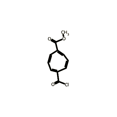 COC(=O)C1=C/C=C\C(C(=O)Cl)=C/C=C\1